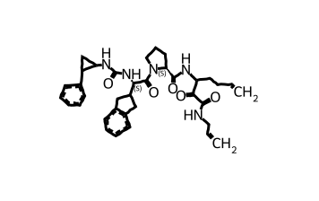 C=CCCC(NC(=O)[C@@H]1CCCN1C(=O)[C@@H](NC(=O)NC1CC1c1ccccc1)C1Cc2ccccc2C1)C(=O)C(=O)NCC=C